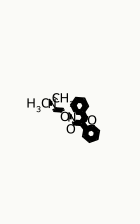 CN(C)CCOn1c(=O)c2c3ccccc3oc2c2ccccc21